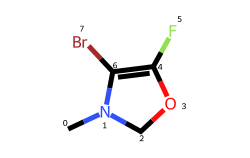 CN1COC(F)=C1Br